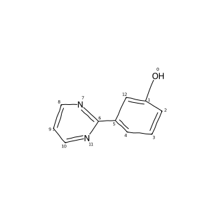 Oc1cccc(-c2nc[c]cn2)c1